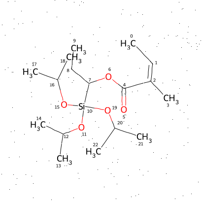 CC=C(C)C(=O)OC(CC)[Si](OC(C)C)(OC(C)C)OC(C)C